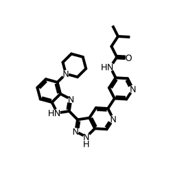 CC(C)CC(=O)Nc1cncc(-c2cc3c(-c4nc5c(N6CCCCC6)cccc5[nH]4)n[nH]c3cn2)c1